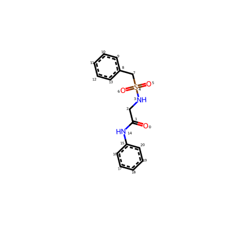 O=C(CNS(=O)(=O)Cc1ccccc1)Nc1ccccc1